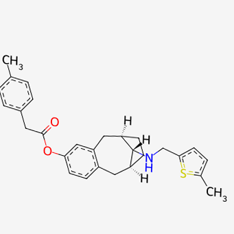 Cc1ccc(CC(=O)Oc2ccc3c(c2)C[C@H]2CC[C@@H](C3)[C@H]2NCc2ccc(C)s2)cc1